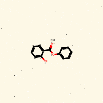 O=C(Oc1ccccc1)c1ccccc1O.[NaH]